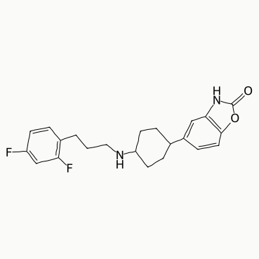 O=c1[nH]c2cc(C3CCC(NCCCc4ccc(F)cc4F)CC3)ccc2o1